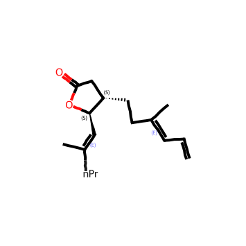 C=C/C=C(\C)CC[C@H]1CC(=O)O[C@@H]1/C=C(\C)CCC